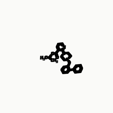 CC(C)OC(=O)c1cccnc1N1CCN(Cc2ccccc2-c2ccccc2)CC1